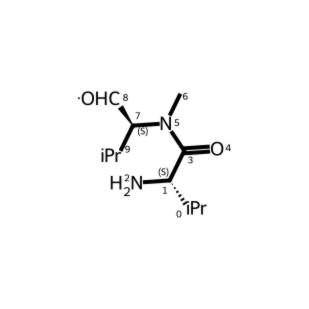 CC(C)[C@H](N)C(=O)N(C)[C@H]([C]=O)C(C)C